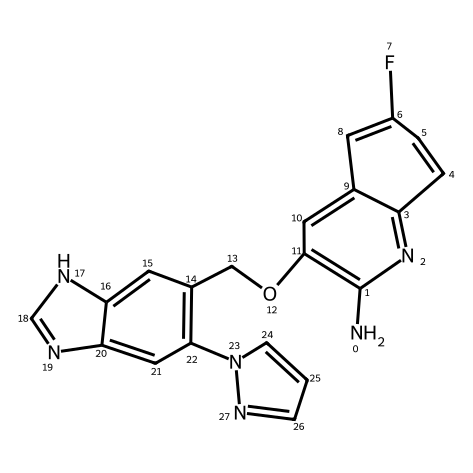 Nc1nc2ccc(F)cc2cc1OCc1cc2[nH]cnc2cc1-n1cccn1